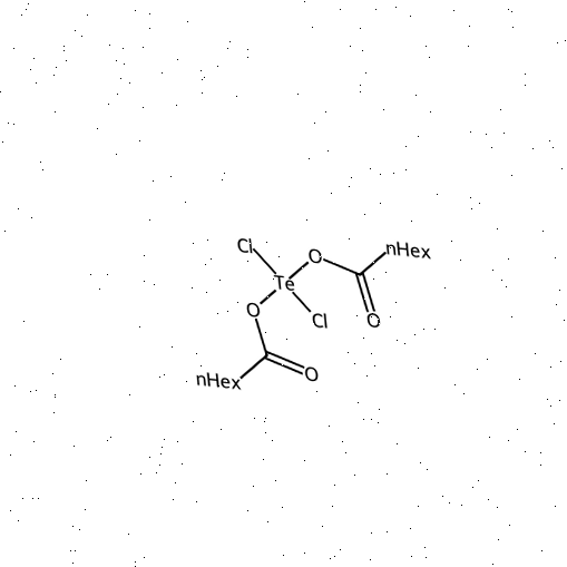 CCCCCCC(=O)O[Te](Cl)(Cl)OC(=O)CCCCCC